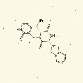 CC(C)C[C@@H]1C(=O)N[C@H](C2Cc3ccccc3C2)C(=O)N1Cc1ccc[nH]c1=O